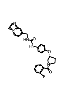 O=C(NCc1ccn2ccnc2c1)Nc1ccc(O[C@@H]2CCN(C(=O)c3ccccc3F)C2)cc1